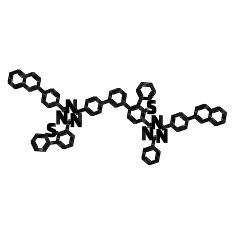 c1ccc(-c2nc(-c3ccc(-c4ccc5ccccc5c4)cc3)nc(-c3ccc(-c4cccc(-c5ccc(-c6nc(-c7ccc(-c8ccc9ccccc9c8)cc7)nc(-c7cccc8c7sc7ccccc78)n6)cc5)c4)c4c3sc3ccccc34)n2)cc1